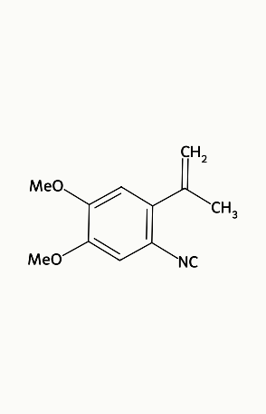 [C-]#[N+]c1cc(OC)c(OC)cc1C(=C)C